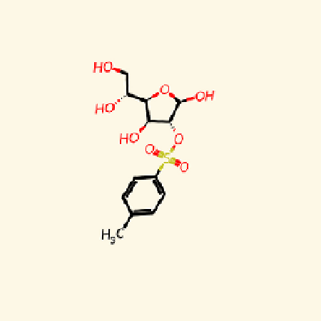 Cc1ccc(S(=O)(=O)O[C@@H]2[C@@H](O)[C@@H]([C@H](O)CO)O[C@H]2O)cc1